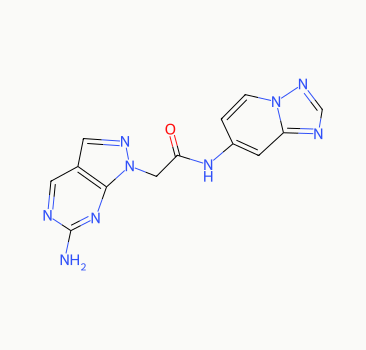 Nc1ncc2cnn(CC(=O)Nc3ccn4ncnc4c3)c2n1